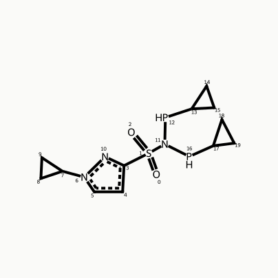 O=S(=O)(c1ccn(C2CC2)n1)N(PC1CC1)PC1CC1